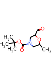 CC1CN(C(=O)OC(C)(C)C)CC(C=O)O1